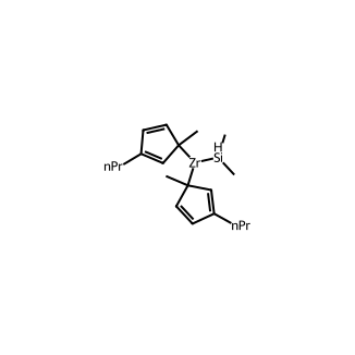 CCCC1=C[C](C)([Zr]([SiH](C)C)[C]2(C)C=CC(CCC)=C2)C=C1